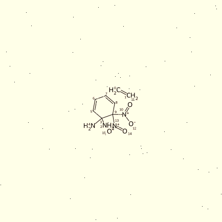 C=C.NC1(N)C=CC=CC1([N+](=O)[O-])[N+](=O)[O-]